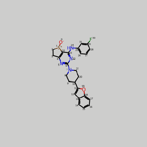 [O-][S+]1CCc2nc(N3CCC(c4cc5ccccc5o4)CC3)nc(Nc3cccc(F)c3)c21